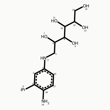 CC(C)c1cc(NCC(O)C(O)C(O)C(O)CO)ccc1N